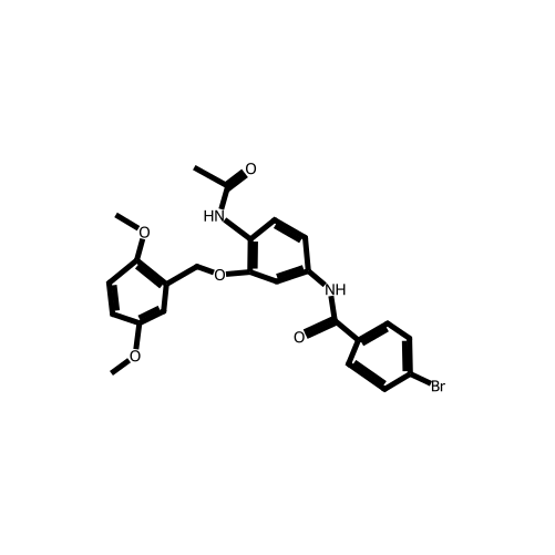 COc1ccc(OC)c(COc2cc(NC(=O)c3ccc(Br)cc3)ccc2NC(C)=O)c1